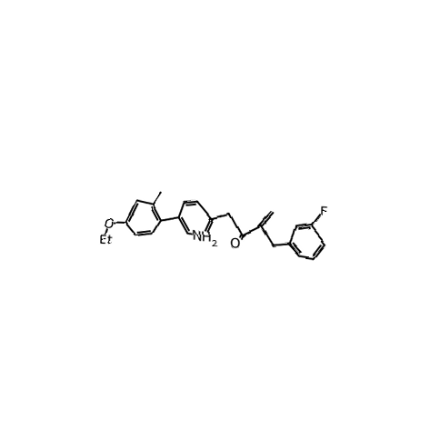 C=C(/C=C\C(=C/N)c1ccc(OCC)cc1C)CC(=O)C(=C)Cc1cccc(F)c1